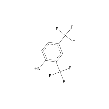 [NH]c1ccc(C(F)(F)F)cc1C(F)(F)F